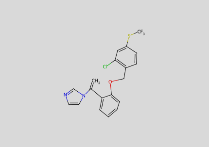 C=C(c1ccccc1OCc1ccc(SC(F)(F)F)cc1Cl)n1ccnc1